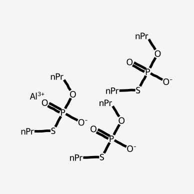 CCCOP(=O)([O-])SCCC.CCCOP(=O)([O-])SCCC.CCCOP(=O)([O-])SCCC.[Al+3]